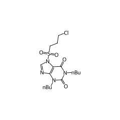 CCCCn1c(=O)c2c(ncn2S(=O)(=O)CCCCl)n(CCCC)c1=O